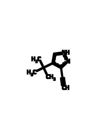 C#Cc1n[nH]cc1C(C)(C)C